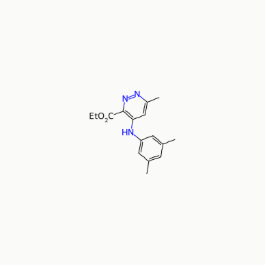 CCOC(=O)c1nnc(C)cc1Nc1cc(C)cc(C)c1